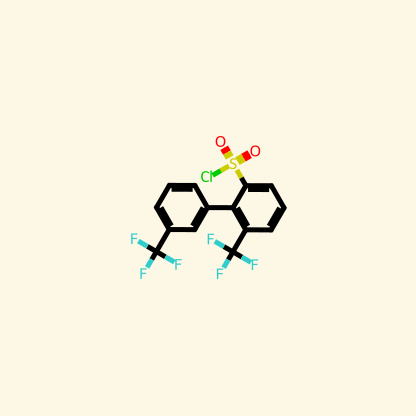 O=S(=O)(Cl)c1cccc(C(F)(F)F)c1-c1cccc(C(F)(F)F)c1